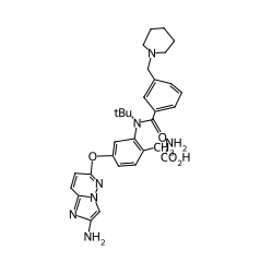 Cc1ccc(Oc2ccc3nc(N)cn3n2)cc1N(C(=O)c1cccc(CN2CCCCC2)c1)C(C)(C)C.NC(=O)O